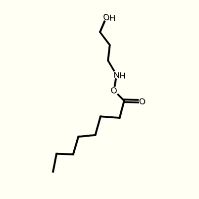 CCCCCCCC(=O)ONCCCO